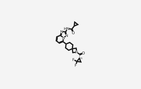 O=C(Nc1nc2cccc(C3CCC4(CC3)CN(C(=O)[C@@H]3CC3(F)F)C4)n2n1)C1CC1